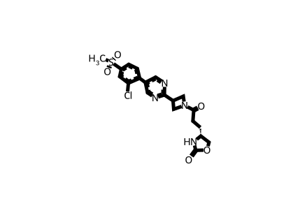 CS(=O)(=O)c1ccc(-c2cnc(C3CN(C(=O)CC[C@@H]4COC(=O)N4)C3)nc2)c(Cl)c1